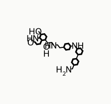 NCc1ccc(-c2cccc(Nc3ccc(CCNC[C@H](O)c4ccc(O)c5[nH]c(=O)ccc45)cc3)c2)cc1